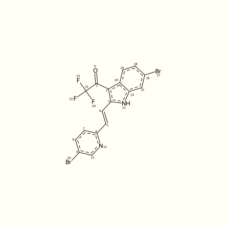 O=C(c1c(C=Cc2ccc(Br)cn2)[nH]c2cc(Br)ccc12)C(F)(F)F